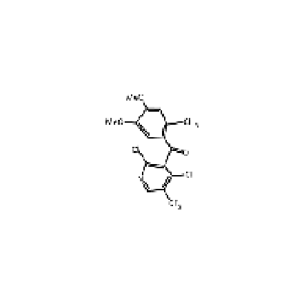 COc1cc(C)c(C(=O)c2c(Cl)ncc(C(F)(F)F)c2Cl)cc1OC